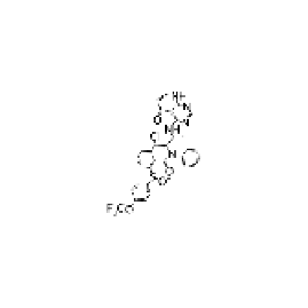 C[C@H](Nc1ncnc2[nH]ccc(=O)c12)c1c(Cl)c2cccc([S+]([O-])c3ccc(OC(F)(F)F)cc3)c2c(=O)n1-c1ccccc1